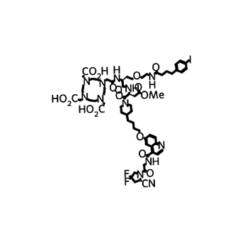 COC(=O)C[C@H](NC(=O)[C@H](CCOCCNC(=O)CCCc1ccc(I)cc1)NC(=O)CN1CCN(CC(=O)O)CCN(CC(=O)O)CCN(CC(=O)O)CC1)C(=O)N1CCC(CCCCOc2ccc3nccc(C(=O)NCC(=O)N4CC(F)(F)C[C@@H]4C#N)c3c2)CC1